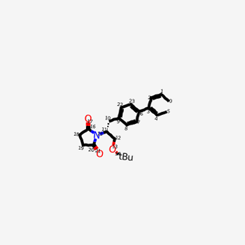 C/C=C\C(=C/C)c1ccc(C[C@H](COC(C)(C)C)N2C(=O)CCC2=O)cc1